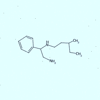 CCC(C)CCNC(CN)c1ccccc1